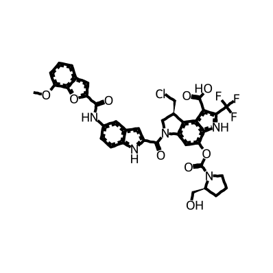 COc1cccc2cc(C(=O)Nc3ccc4[nH]c(C(=O)N5C[C@@H](CCl)c6c5cc(OC(=O)N5CCC[C@H]5CO)c5[nH]c(C(F)(F)F)c(C(=O)O)c65)cc4c3)oc12